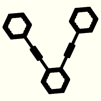 C(#Cc1ccccc1C#Cc1ccccc1)c1ccccc1